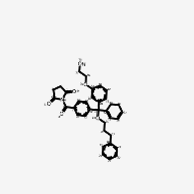 O=C1CCC(=O)N1C(=O)c1ccc(C(OCCCc2ccccc2)(C2=CC=CCC2)c2cccc(OCCO)c2)cc1